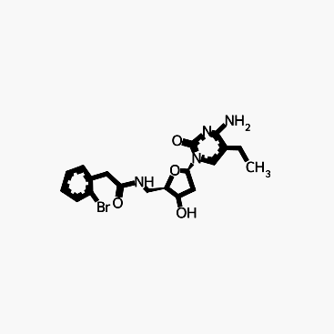 CCc1cn([C@H]2CC(O)[C@@H](CNC(=O)Cc3ccccc3Br)O2)c(=O)nc1N